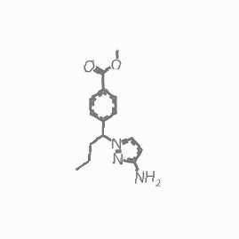 CCCC(c1ccc(C(=O)OC)cc1)n1ccc(N)n1